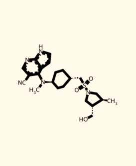 C[C@@H]1CN(S(=O)(=O)C[C@H]2CC[C@H](N(C)c3c(C#N)cnc4[nH]ccc34)CC2)C[C@H]1CO